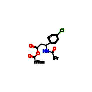 CCCCCCCCCC(=O)OC(=O)CC(NC(=O)C(C)C)c1ccc(Cl)cc1